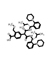 COCc1cc(C(C(=O)N[C@H](CC(C)C)c2ccccc2N2CCCCC2)C(=O)N[C@H](CC(C)C)c2ccccc2N2CCCCC2)ccc1C(=O)O